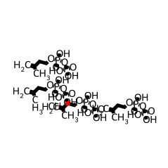 C.C=C(C)CCOP(=O)(O)OP(=O)(O)O.C=C(C)CCOP(=O)(O)OP(=O)(O)O.C=C(C)CCOP(=O)(O)OP(=O)(O)O.C=C(C)CCOP(=O)(O)OP(=O)(O)O